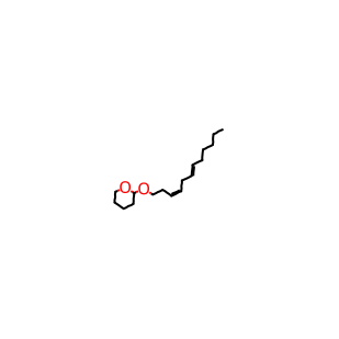 CCCCCC=CC/C=C\CCOC1CCCCO1